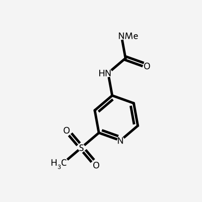 CNC(=O)Nc1ccnc(S(C)(=O)=O)c1